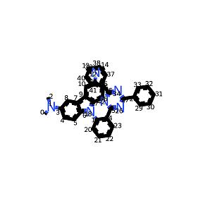 CN(C)c1ccc2c(c1)c1cc(N(C)C)ccc1n2-c1ccccc1-c1nc(-c2ccccc2)nc(-c2ccccc2)n1